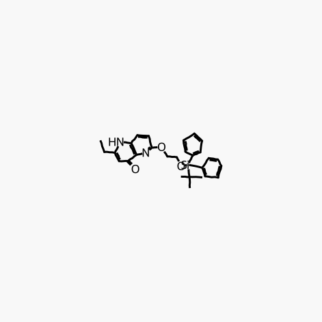 CCc1cc(=O)c2nc(OCCO[Si](c3ccccc3)(c3ccccc3)C(C)(C)C)ccc2[nH]1